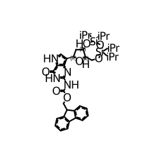 CC(C)[Si]1(C(C)C)OC[C@H]2O[C@@H](c3c[nH]c4c(=O)[nH]c(NC(=O)OCC5c6ccccc6-c6ccccc65)nc34)C[C@H]2O[Si](C(C)C)(C(C)C)O1